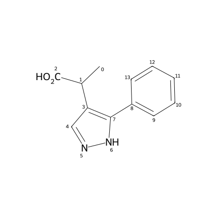 CC(C(=O)O)c1cn[nH]c1-c1ccccc1